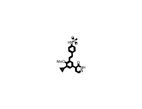 COc1c(C=Cc2ccc(NS(C)(=O)=O)cc2)cc(-c2ccn[nH]c2=O)cc1C1CC1